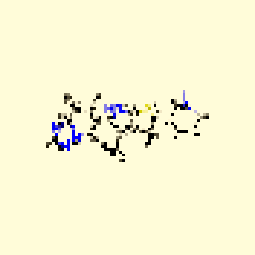 Cc1c(-c2[nH]c3sc(C4CCCNC4)c(C)c3c2C(C)C)cn2ncnc2c1C